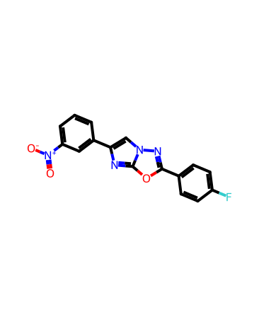 O=[N+]([O-])c1cccc(-c2cn3nc(-c4ccc(F)cc4)oc3n2)c1